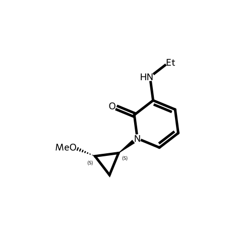 CCNc1cccn([C@H]2C[C@@H]2OC)c1=O